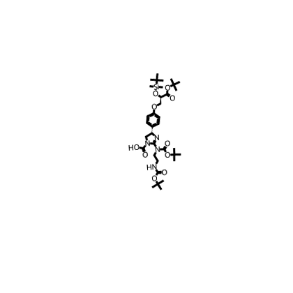 CC(C)(C)OC(=O)NCCN(C(=O)OC(C)(C)C)C1=N[C@@H](c2ccc(OC[C@@H](O[Si](C)(C)C(C)(C)C)C(=O)OC(C)(C)C)cc2)CN1C(=O)O